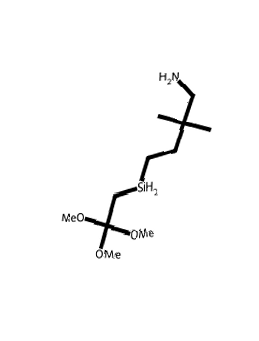 COC(C[SiH2]CCC(C)(C)CN)(OC)OC